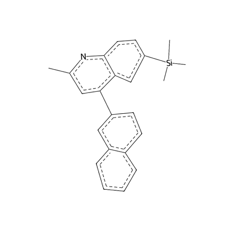 Cc1cc(-c2ccc3ccccc3c2)c2cc([Si](C)(C)C)ccc2n1